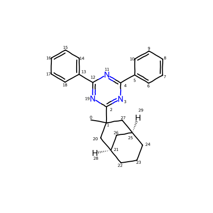 CC1(c2nc(-c3ccccc3)nc(-c3ccccc3)n2)C[C@@H]2CCC[C@@H](C2)C1